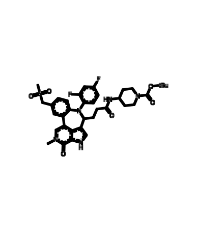 Cn1cc2c3c(c[nH]c3c1=O)C(CCC(=O)NC1CCN(C(=O)OC(C)(C)C)CC1)N(c1ccc(F)cc1F)c1ccc(CS(C)(=O)=O)cc1-2